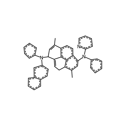 CC1=CC(N(c2ccccc2)c2ccc3ccccc3c2)C2=CCc3c(C)cc(N(c4ccccc4)c4ccccn4)c4ccc1c2c34